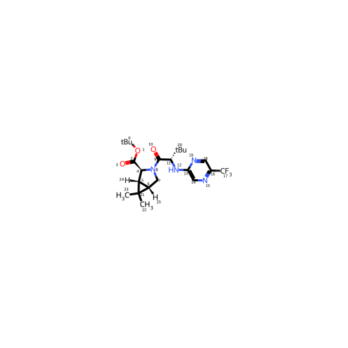 CC(C)(C)OC(=O)[C@@H]1[C@@H]2[C@H](CN1C(=O)[C@@H](Nc1cnc(C(F)(F)F)cn1)C(C)(C)C)C2(C)C